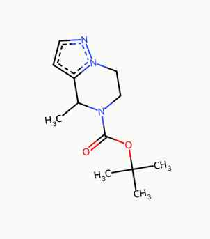 CC1c2ccnn2CCN1C(=O)OC(C)(C)C